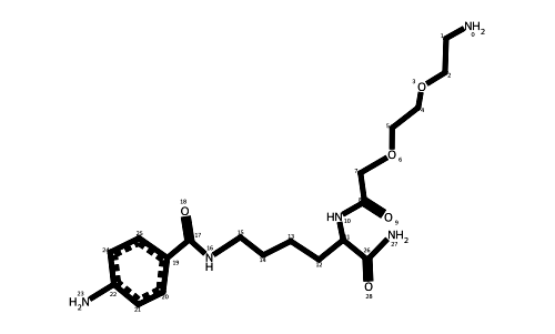 NCCOCCOCC(=O)NC(CCCCNC(=O)c1ccc(N)cc1)C(N)=O